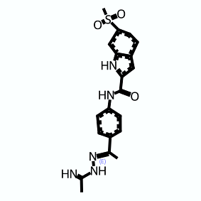 CC(=N)N/N=C(\C)c1ccc(NC(=O)c2cc3ccc(S(C)(=O)=O)cc3[nH]2)cc1